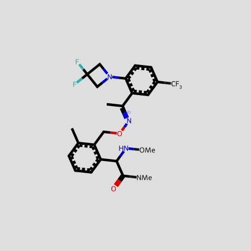 CNC(=O)C(NOC)c1cccc(C)c1CO/N=C(\C)c1cc(C(F)(F)F)ccc1N1CC(F)(F)C1